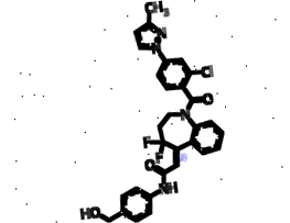 Cc1ccn(-c2ccc(C(=O)N3CCC(F)(F)/C(=C\C(=O)Nc4ccc(CO)cc4)c4ccccc43)c(Cl)c2)n1